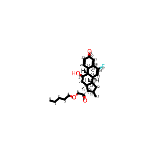 CCCCCOCC(=O)[C@H]1C(C)C[C@H]2[C@@H]3C=C(F)C4=CC(=O)C=C[C@]4(C)[C@H]3C(O)C[C@]12C